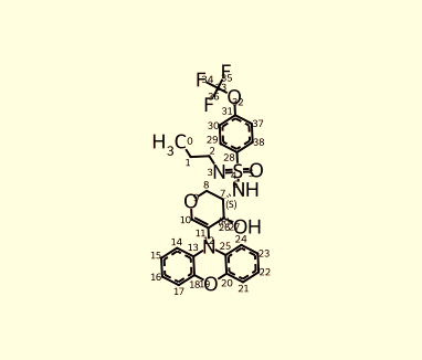 CCCN=S(=O)(N[C@H]1COC=C(N2c3ccccc3Oc3ccccc32)[C@@H]1O)c1ccc(OC(F)(F)F)cc1